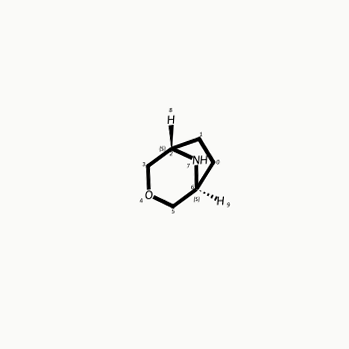 C1C[C@H]2COC[C@H]1N2